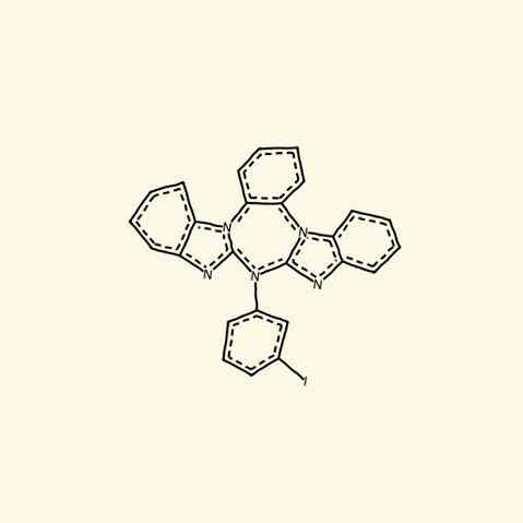 Ic1cccc(-n2c3nc4ccccc4n3c3ccccc3n3c4ccccc4nc23)c1